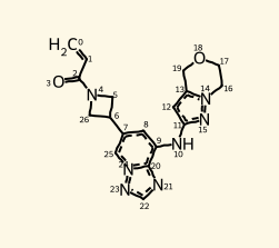 C=CC(=O)N1CC(c2cc(Nc3cc4n(n3)CCOC4)c3ncnn3c2)C1